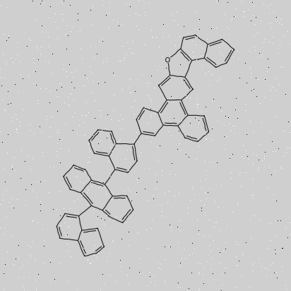 c1ccc2c(-c3c4ccccc4c(-c4ccc(-c5ccc6c(c5)c5ccccc5c5cc7c(cc65)oc5ccc6ccccc6c57)c5ccccc45)c4ccccc34)cccc2c1